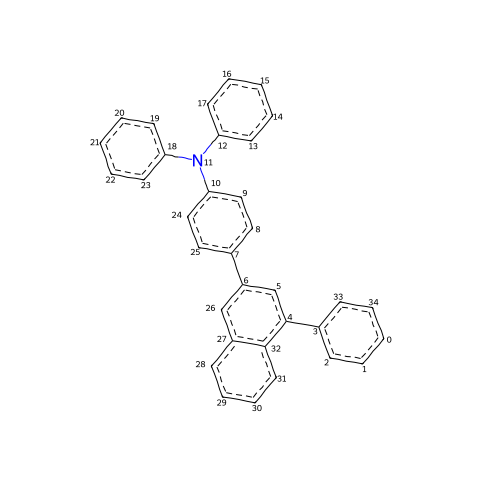 c1ccc(-c2cc(-c3ccc(N(c4ccccc4)c4ccccc4)cc3)cc3ccccc23)cc1